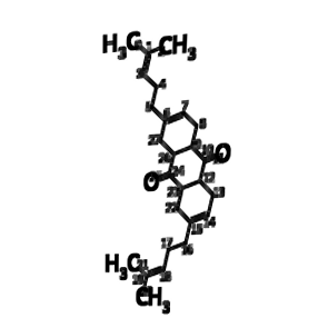 CC(C)=CCCC1=CCC2C(=O)C3CC=C(CCC=C(C)C)CC3C(=O)C2C1